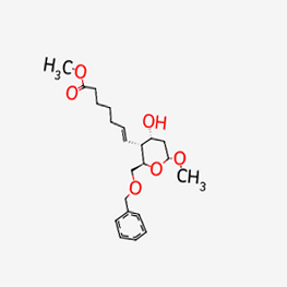 COC(=O)CCCCC=C[C@@H]1[C@H](O)C[C@H](OC)O[C@H]1COCc1ccccc1